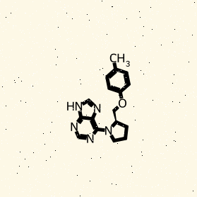 Cc1ccc(OC[C@H]2CCCN2c2ncnc3[nH]cnc23)cc1